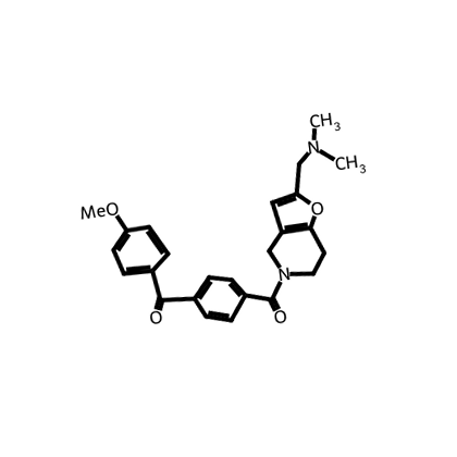 COc1ccc(C(=O)c2ccc(C(=O)N3CCc4oc(CN(C)C)cc4C3)cc2)cc1